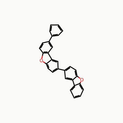 c1ccc(-c2ccc3oc4ccc(-c5ccc6oc7ccccc7c6c5)cc4c3c2)cc1